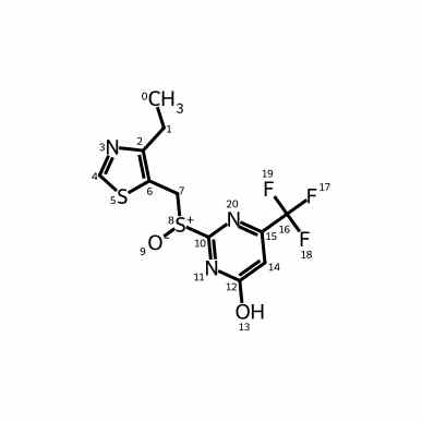 CCc1ncsc1C[S+]([O-])c1nc(O)cc(C(F)(F)F)n1